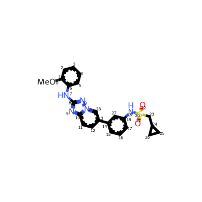 COc1ccccc1Nc1nc2ccc(-c3cccc(NS(=O)(=O)CC4CC4)c3)cn2n1